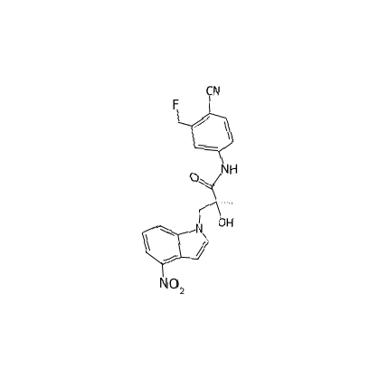 C[C@](O)(Cn1ccc2c([N+](=O)[O-])cccc21)C(=O)Nc1ccc(C#N)c(CF)c1